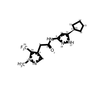 Cn1ncc(CC(=O)Nc2cc([C@H]3C[CH]CC3)[nH]n2)c1C(F)(F)F